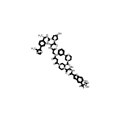 Cc1ncsc1-c1ccc([C@H](C)NC(=O)[C@@H]2C[C@@H](O)CN2C(=O)[C@@H](NC(=O)CNC(=O)CC(=O)N2CCN(C(=O)[C@@H](NC(=O)c3cc4cc(C(F)(F)P(=O)(O)O)ccc4s3)C(C)(C)C)[C@H](C(=O)N3CCO[C@H](c4ccccc4)C3)C2)C(C)(C)C)cc1